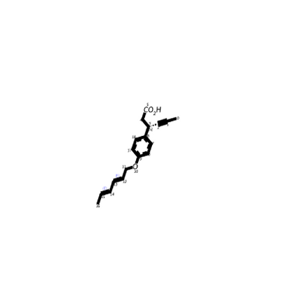 CC#C[C@@H](CC(=O)O)c1ccc(OC/C=C/C=C/C)cc1